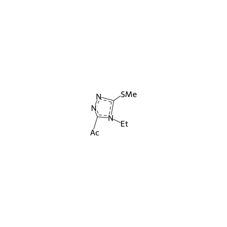 CCn1c(SC)nnc1C(C)=O